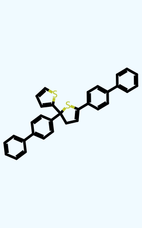 C1=C(c2ccc(-c3ccccc3)cc2)SC(c2ccc(-c3ccccc3)cc2)(c2cccs2)C1